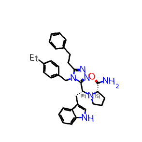 CCc1ccc(Cn2c(CCc3ccccc3)nnc2[C@@H](Cc2c[nH]c3ccccc23)N2CCC[C@H]2C(N)=O)cc1